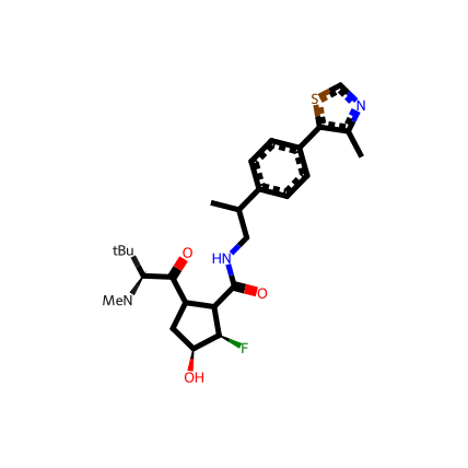 CN[C@H](C(=O)C1C[C@H](O)[C@H](F)C1C(=O)NCC(C)c1ccc(-c2scnc2C)cc1)C(C)(C)C